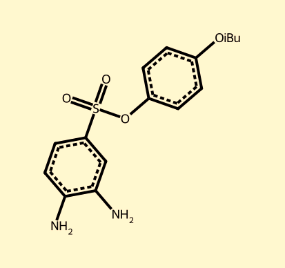 CC(C)COc1ccc(OS(=O)(=O)c2ccc(N)c(N)c2)cc1